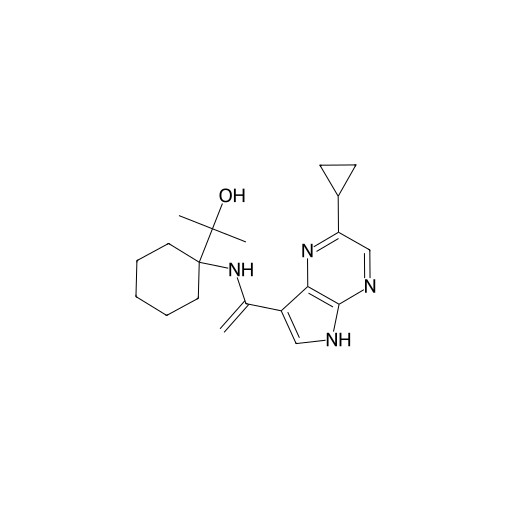 C=C(NC1(C(C)(C)O)CCCCC1)c1c[nH]c2ncc(C3CC3)nc12